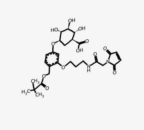 CC(C)(C)C(=O)OCc1ccc(O[C@@H]2C[C@H](C(=O)O)[C@@H](O)[C@H](O)[C@H]2O)cc1OCCCNC(=O)CN1C(=O)C=CC1=O